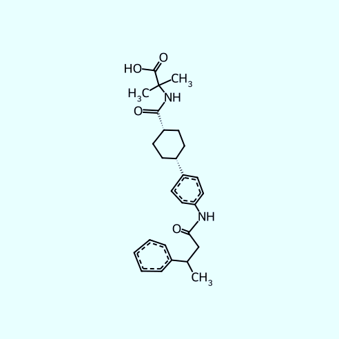 CC(CC(=O)Nc1ccc([C@H]2CC[C@@H](C(=O)NC(C)(C)C(=O)O)CC2)cc1)c1ccccc1